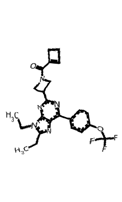 CCc1nc2c(-c3ccc(OC(F)(F)F)cc3)nc(C3CN(C(=O)C4=CCC4)C3)nc2n1CC